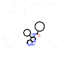 O=C(Nc1cnc2c(c1C1CCCCCCC1)C=C=NN2)C1CCCCCCCCCC1